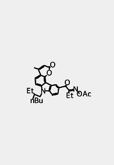 CCCCC(CC)Cn1c2ccc(C(=O)/C(CC)=N/OC(C)=O)cc2c2c3oc(=O)cc(C)c3ccc21